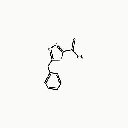 NC(=O)c1nnc(Cc2ccccc2)o1